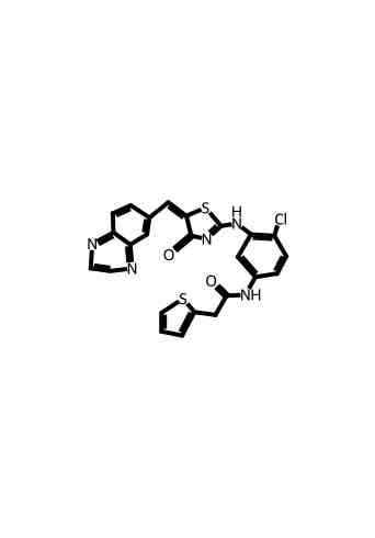 O=C(Cc1cccs1)Nc1ccc(Cl)c(NC2=NC(=O)C(=Cc3ccc4nccnc4c3)S2)c1